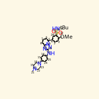 COc1ccc(-c2cccc3nc(Nc4ccc(N5CCN(C)CC5)cc4)nn23)cc1S(=O)(=O)NC(C)(C)C